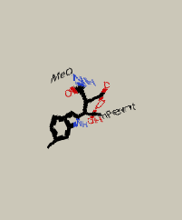 CCCCCC1(O)OC(=O)C(C(=O)NOC)=C1c1cc2ccc(C)cc2[nH]1